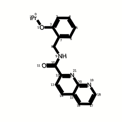 CC(C)Oc1ccccc1CNC(=O)c1ccc2cccnc2n1